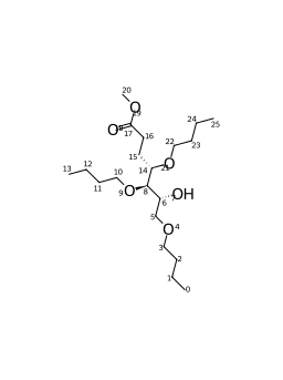 CCCCOC[C@@H](O)[C@@H](OCCCC)[C@H](CCC(=O)OC)OCCCC